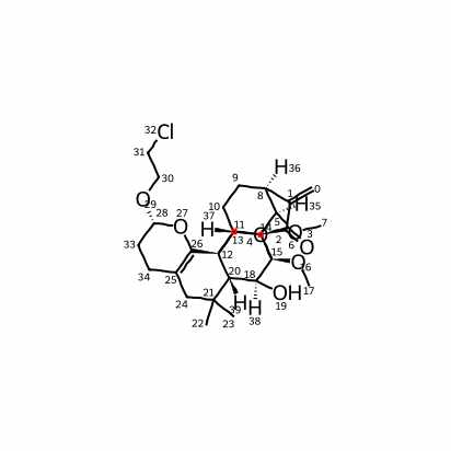 C=C1C(=O)[C@]23[C@H](OC)[C@H]1CC[C@H]2[C@@]12CO[C@@]3(OC)[C@@H](O)[C@@H]1C(C)(C)CC1=C2O[C@@H](OCCCl)CC1